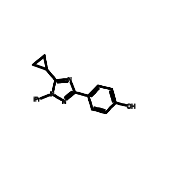 CC(C)n1nc(-c2ccc(O)cc2)nc1C1CC1